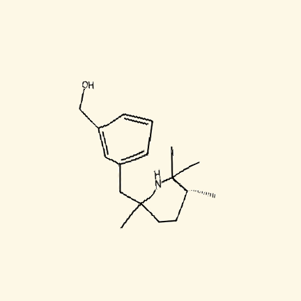 C[C@@H]1CCC(C)(Cc2cccc(CO)c2)NC1(C)C